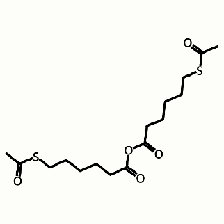 CC(=O)SCCCCCC(=O)OC(=O)CCCCCSC(C)=O